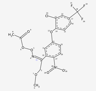 COC/C(=N/OOC(C)=O)c1cc(Oc2ccc(C(F)(F)F)cc2Cl)ccc1[N+](=O)[O-]